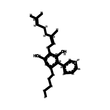 CCCCCc1cc(O)c(CC=C(C)CCC=C(C)C)c(O)c1-c1cccnc1